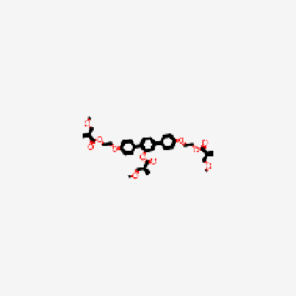 C=C(COC)C(=O)OCCOC1CCC(C2CCC(C3CCC(OCCOC(=O)C(=C)COC)CC3)C(OC(=O)C(=C)COC)C2)CC1